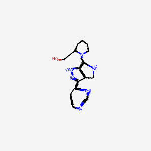 OCC1CCCCN1C1NCc2c(-c3ccncn3)n[nH]c21